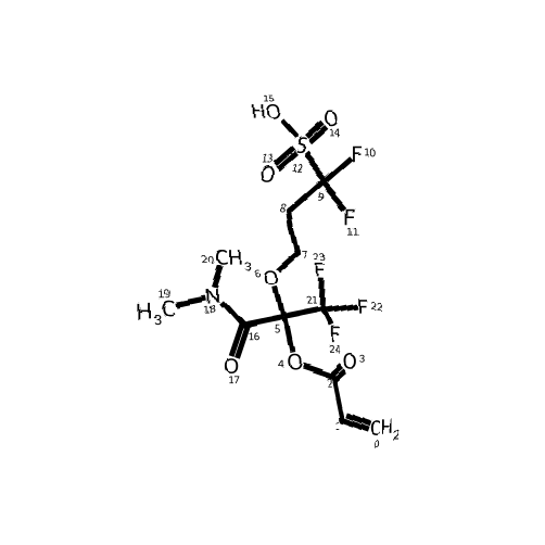 C=CC(=O)OC(OCCC(F)(F)S(=O)(=O)O)(C(=O)N(C)C)C(F)(F)F